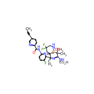 CC#Cc1ccc(C(=O)Nc2ccc(F)c([C@@]3(C)N=C(NC(=O)O)C(C)(C)[S@@]4(O)NCC(F)(F)C[C@H]34)n2)nc1